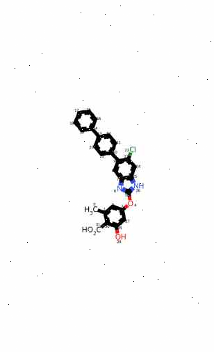 Cc1cc(Oc2nc3cc(-c4ccc(-c5ccccc5)cc4)c(Cl)cc3[nH]2)cc(O)c1C(=O)O